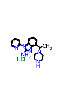 CC(c1cccc2c1nc(N)n2-c1ccccn1)N1CCNCC1.Cl